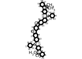 C[Si]1(C)c2ccccc2-c2ccc(N(c3ccccc3)c3ccc4cc5c(cc4c3)oc3cc4oc6cc7cc(N(c8ccccc8)c8ccc9c(c8)[Si](C)(C)c8ccccc8-9)ccc7cc6c4cc35)cc21